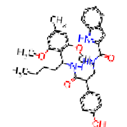 CCCCC(NC(=O)C(CNC(=O)c1cc2ccccc2[nH]1)c1ccc(O)cc1)c1c(OC)cc(C)cc1OC